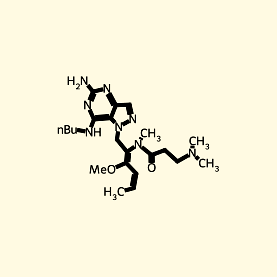 C/C=C\C(OC)=C(\Cn1ncc2nc(N)nc(NCCCC)c21)N(C)C(=O)CCN(C)C